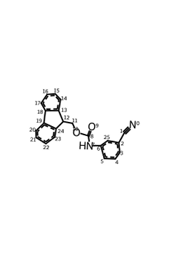 N#Cc1cccc(NC(=O)OCC2c3ccccc3-c3ccccc32)c1